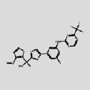 COc1ccsc1C(C)(O)c1ncc(-c2cc(C)cc(Nc3nccc(C(F)(F)F)n3)c2)s1